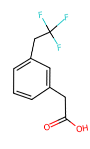 O=C(O)Cc1cccc(CC(F)(F)F)c1